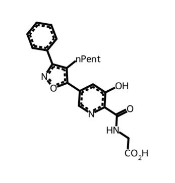 CCCCCc1c(-c2ccccc2)noc1-c1cnc(C(=O)NCC(=O)O)c(O)c1